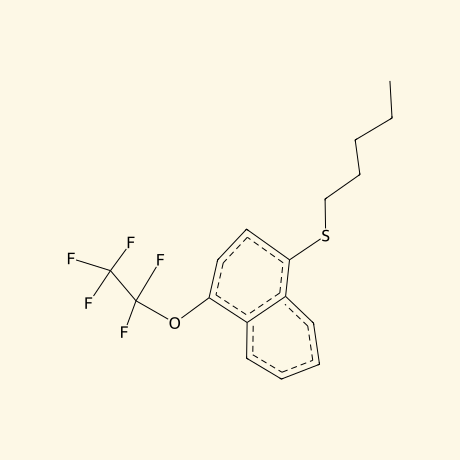 CCCCCSc1ccc(OC(F)(F)C(F)(F)F)c2ccccc12